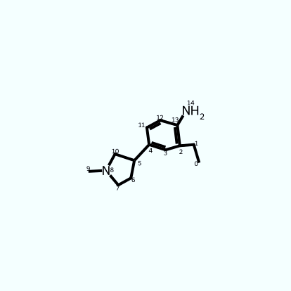 CCc1cc(C2CCN(C)C2)ccc1N